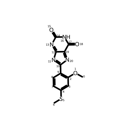 COc1cc(SC)ccc1C1=NC2=NC(=O)NC(=O)C2=N1